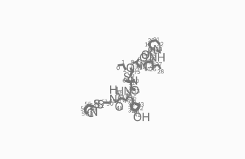 CCCO[C@H](C[C@H](C(C)C)N(C)C(=O)[C@@H](NC(=O)[C@H]1CCCCN1C)C(C)CC)c1nc(C(=O)N[C@@H](Cc2ccc(O)cc2)C[C@H](C)C(=O)NCCSSc2ccccn2)cs1